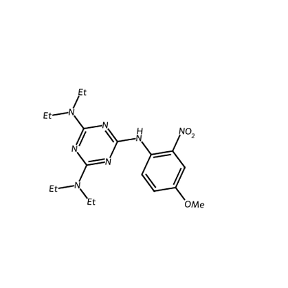 CCN(CC)c1nc(Nc2ccc(OC)cc2[N+](=O)[O-])nc(N(CC)CC)n1